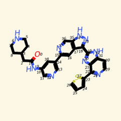 O=C(CC1CCNCC1)Nc1cncc(-c2cc3c(-c4nc5c(-c6cccs6)nccc5[nH]4)n[nH]c3cn2)c1